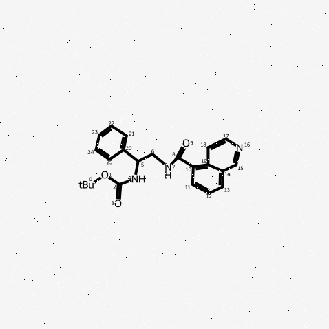 CC(C)(C)OC(=O)NC(CNC(=O)c1cccc2cnccc12)c1ccccc1